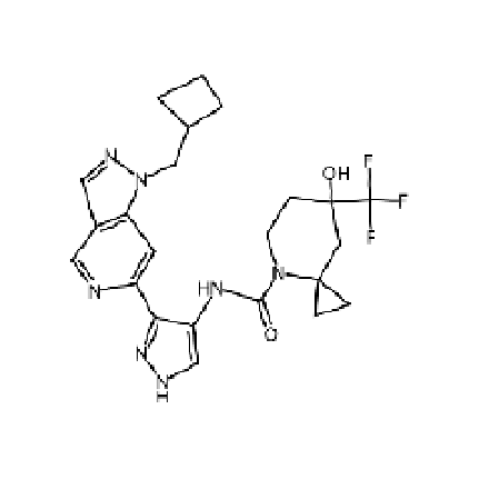 O=C(Nc1c[nH]nc1-c1cc2c(cn1)cnn2CC1CCC1)N1CCC(O)(C(F)(F)F)CC12CC2